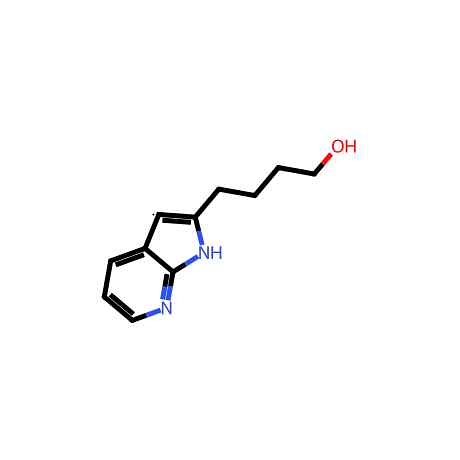 OCCCCc1[c]c2cccnc2[nH]1